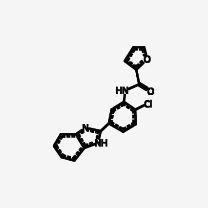 O=C(Nc1cc(-c2nc3ccccc3[nH]2)ccc1Cl)c1ccco1